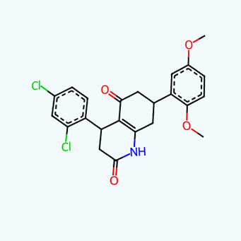 COc1ccc(OC)c(C2CC(=O)C3=C(C2)NC(=O)CC3c2ccc(Cl)cc2Cl)c1